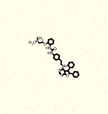 CN(C)CCOc1ccccc1NC(=O)Nc1ccc(CCNc2ncnc3oc(-c4ccccc4)c(-c4ccccc4)c23)cc1